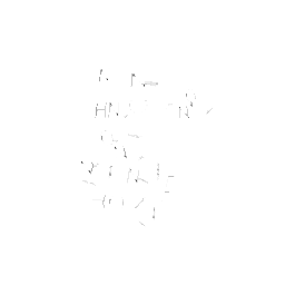 C=CC(=O)N1CCC(c2c(C(=O)NCCN(C)C)c(=O)n(-c3c(C)ccnc3C(C)C)c3nc(-c4c(O)cccc4F)c(F)cc23)C[C@@H]1CC#N